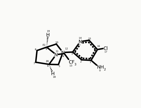 Nc1cc(N2C[C@H]3CC[C@@H](C2)N3CC(F)(F)F)ncc1Cl